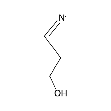 [N]=CCCO